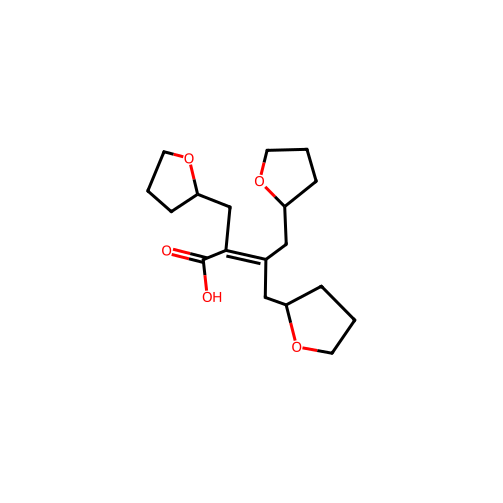 O=C(O)C(CC1CCCO1)=C(CC1CCCO1)CC1CCCO1